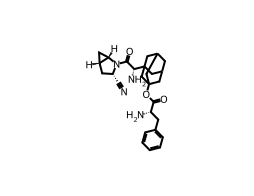 N#C[C@@H]1C[C@@H]2C[C@@H]2N1C(=O)[C@@H](N)C12CC3CC(CC(OC(=O)[C@@H](N)Cc4ccccc4)(C3)C1)C2